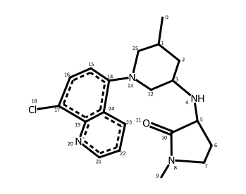 CC1CC(NC2CCN(C)C2=O)CN(c2ccc(Cl)c3ncccc23)C1